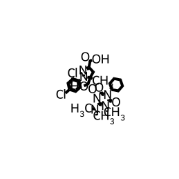 CC1(C(=O)O)CC(C(=O)O)=NN1c1ccc(Cl)cc1Cl.CN(C)c1nc(=O)n(C2CCCCC2)c(=O)n1C